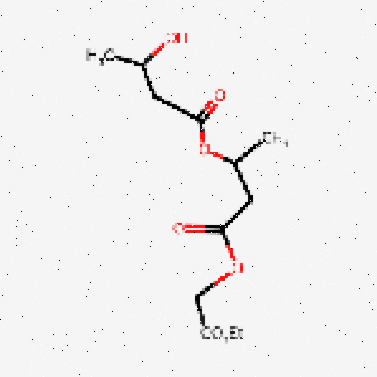 CCOC(=O)COC(=O)CC(C)OC(=O)CC(C)O